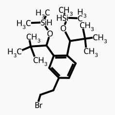 C[SiH](C)OC(c1ccc(CCBr)cc1C(O[SiH](C)C)C(C)(C)C)C(C)(C)C